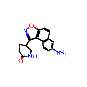 Nc1ccc2c(ccc3onc(C4CCC(=O)NC4)c32)c1